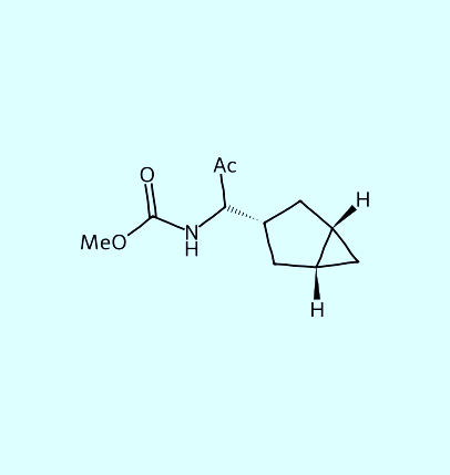 COC(=O)NC(C(C)=O)[C@@H]1C[C@@H]2C[C@@H]2C1